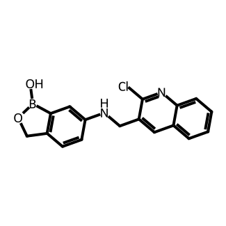 OB1OCc2ccc(NCc3cc4ccccc4nc3Cl)cc21